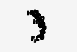 O=C(Nc1ccc(OC2CN(C(=O)CC(F)(F)F)C2)cc1)N1C=C2C=CNC=C2C1